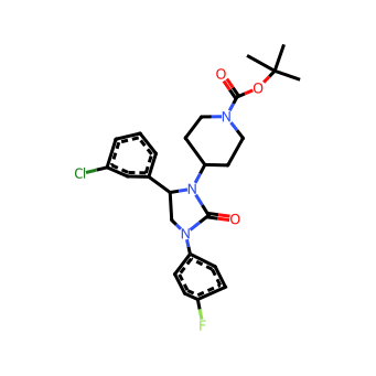 CC(C)(C)OC(=O)N1CCC(N2C(=O)N(c3ccc(F)cc3)CC2c2cccc(Cl)c2)CC1